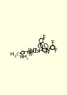 Cc1ccc(CNS(=O)(=O)N2CCN(c3cnn(-c4cc(F)cc(F)c4)c(=O)c3OC3CCC(F)C3)CC2)cc1N